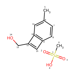 CS(=O)(=O)O.Cc1ccc2c(c1)C(CO)=C2